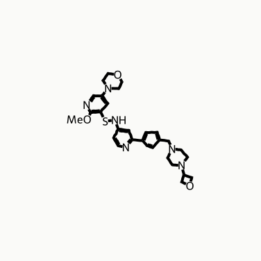 COc1ncc(N2CCOCC2)cc1SNc1ccnc(-c2ccc(CN3CCN(C4COC4)CC3)cc2)c1